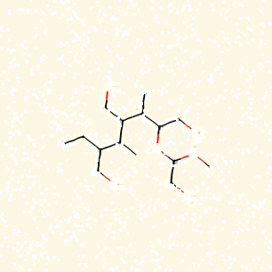 CCC(CO)C(C)C(CO)C(C)C(CO)OC(CO)OC